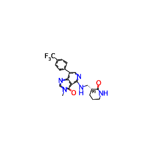 Cn1cnc2c(-c3ccc(C(F)(F)F)cc3)cnc(NC[C@H]3CCCNC3=O)c2c1=O